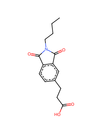 CCCCN1C(=O)c2ccc(CCC(=O)O)cc2C1=O